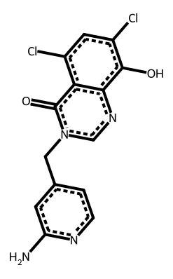 Nc1cc(Cn2cnc3c(O)c(Cl)cc(Cl)c3c2=O)ccn1